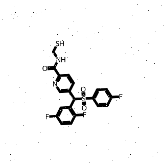 O=C(NCS)c1ccc(C(c2cc(F)ccc2F)S(=O)(=O)c2ccc(F)cc2)cn1